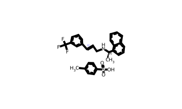 C[C@@H](NC/C=C/c1cccc(C(F)(F)F)c1)c1cccc2ccccc12.Cc1ccc(S(=O)(=O)O)cc1